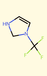 FC(F)(F)N1C=CNC1